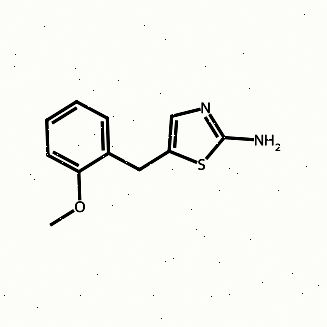 COc1ccccc1Cc1cnc(N)s1